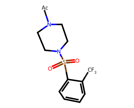 CC(=O)N1CCN(S(=O)(=O)c2ccccc2C(F)(F)F)CC1